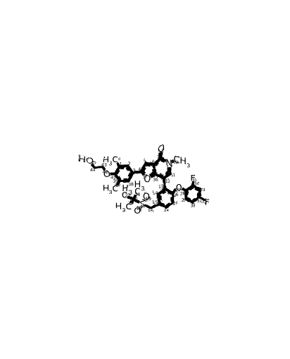 Cc1cc(-c2cc3c(=O)n(C)cc(-c4cc(CS(=O)(=O)C(C)(C)C)ccc4Oc4ccc(F)cc4F)c3o2)cc(C)c1OCCO